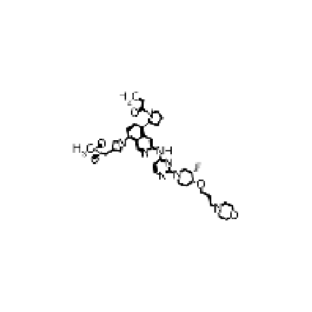 C=CC(=O)N1CCC[C@H]1c1ccc(N2CC(CS(C)(=O)=O)C2)c2cnc(Nc3ccnc(N4CC[C@@H](OCCCN5CCOCC5)[C@@H](F)C4)n3)cc12